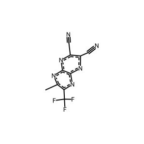 Cc1nc2nc(C#N)c(C#N)nc2nc1C(F)(F)F